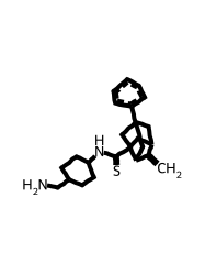 C=C1C2CC3(c4ccccc4)CC1C(C(=S)NC1CCC(CN)CC1)(C2)C3